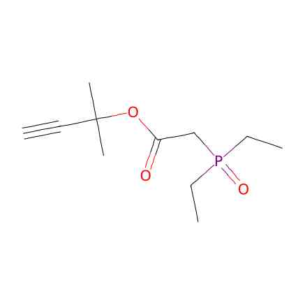 C#CC(C)(C)OC(=O)CP(=O)(CC)CC